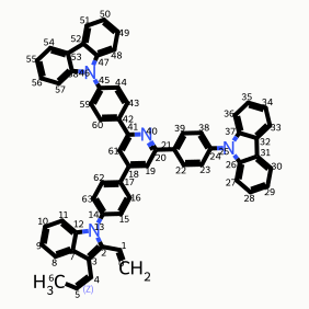 C=Cc1c(/C=C\C)c2ccccc2n1-c1ccc(-c2cc(-c3ccc(-n4c5ccccc5c5ccccc54)cc3)nc(-c3ccc(-n4c5ccccc5c5ccccc54)cc3)c2)cc1